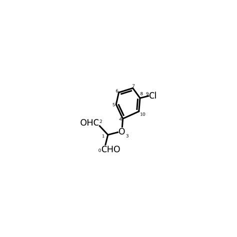 O=CC(C=O)Oc1cccc(Cl)c1